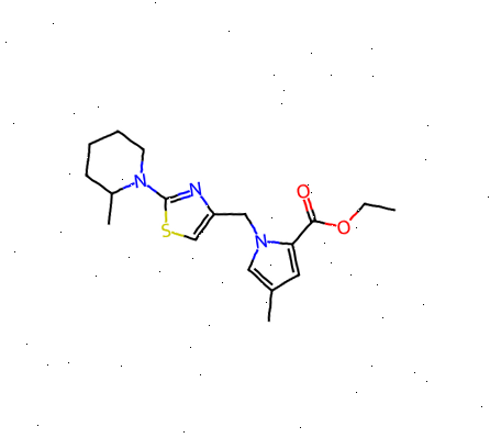 CCOC(=O)c1cc(C)cn1Cc1csc(N2CCCCC2C)n1